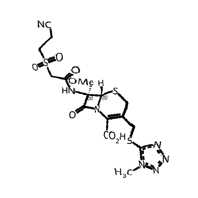 CO[C@@]1(NC(=O)CS(=O)(=O)CCC#N)C(=O)N2C(C(=O)O)=C(CSc3nnnn3C)CS[C@H]21